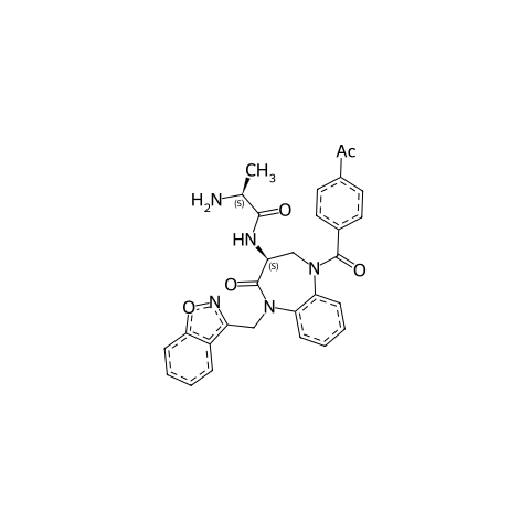 CC(=O)c1ccc(C(=O)N2C[C@H](NC(=O)[C@H](C)N)C(=O)N(Cc3noc4ccccc34)c3ccccc32)cc1